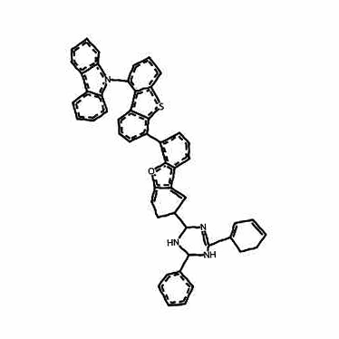 C1=CCCC(C2=NC(C3C=c4c(oc5c(-c6cccc7c6sc6cccc(-n8c9ccccc9c9ccccc98)c67)cccc45)=CC3)NC(c3ccccc3)N2)=C1